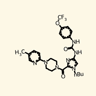 CCCCn1cc(NC(=O)Nc2ccc(OC(F)(F)F)cc2)nc1C(=O)N1CCN(c2ccc(C)cn2)CC1